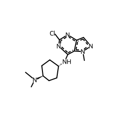 Cn1ncc2nc(Cl)nc(N[C@H]3CC[C@H](N(C)C)CC3)c21